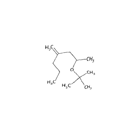 C=C(CCC)CC(C)OC(C)(C)C